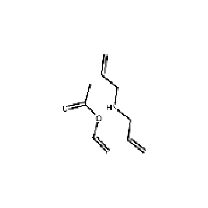 C=CCNCC=C.C=COC(C)=O